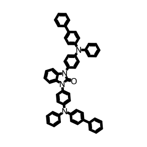 O=c1n(-c2ccc(N(c3ccccc3)c3ccc(-c4ccccc4)cc3)cc2)c2ccccc2n1-c1ccc(N(c2ccccc2)c2ccc(-c3ccccc3)cc2)cc1